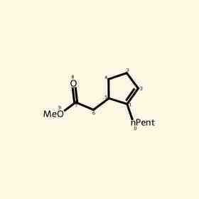 CCCCCC1=CCCC1CC(=O)OC